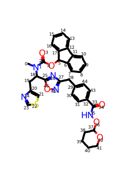 CN(C(=O)OC1c2ccccc2-c2ccccc21)C(Cc1cscn1)c1nc(Cc2ccc(C(=O)NOC3CCCCO3)cc2)no1